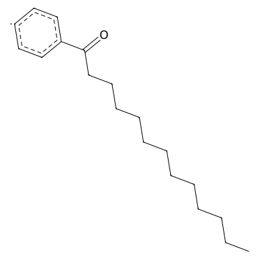 CCCCCCCCCCCCC(=O)c1cc[c]cc1